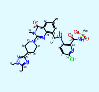 Cc1cc([C@@H](C)Nc2ccc(Cl)nc2C(=O)NS(C)(=O)=O)c2nc(N3CCC(c4nc(C)n(C)n4)CC3)n(C)c(=O)c2c1